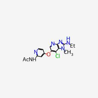 CCNc1nc2ncc(Oc3ccnc(NC(C)=O)c3)c(Cl)c2n1C